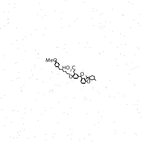 COc1ccc(CCCCCCOc2ccc(C(=O)c3cccc(OC45CC(C)CCC4C5(C)C)c3)cc2CCC(=O)O)cc1